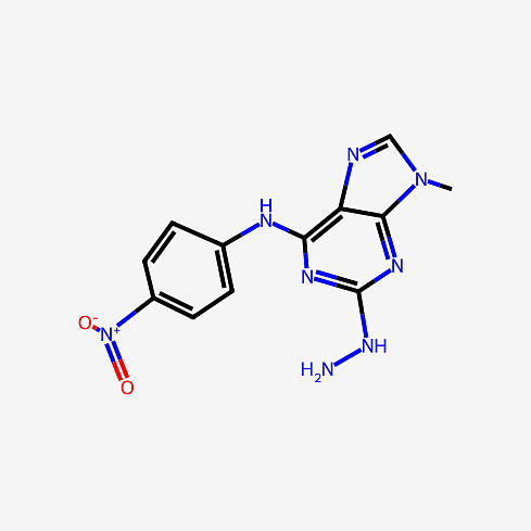 Cn1cnc2c(Nc3ccc([N+](=O)[O-])cc3)nc(NN)nc21